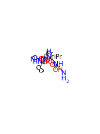 CC(C)C[C@H](NC(=O)[C@H](Cc1cccc2ccccc12)NC(=O)c1cccnc1)C(=O)N[C@@H](CC(C)C)[C@@H](O)CC(=O)N[C@H](CO)CCCCN